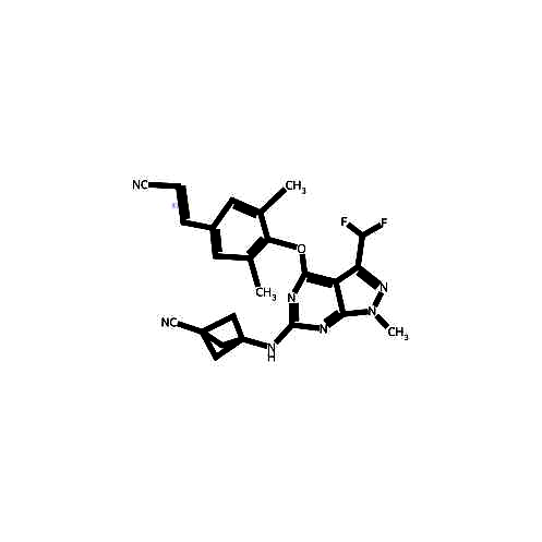 Cc1cc(/C=C/C#N)cc(C)c1Oc1nc(NC23CC(C#N)(C2)C3)nc2c1c(C(F)F)nn2C